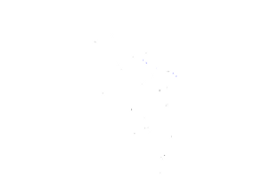 Cc1ccc(C(C)c2cc(C(C)(C)CC(C)(C)C)cc([N+](=O)[O-])c2N)cc1